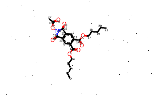 CCCCCOC(=O)c1cc2c(cc1C(=O)OCCCCC)C(=O)N(OC(C)=O)C2=O